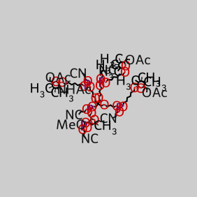 [C-]#[N+]CCOP(OCCCCCCO[C@@H]1OC(COC(C)=O)[C@H](C)[C@H](C)C1C)OCCCOCC(COCCCOP(OCCCCCCO[C@@H]1OC(COC(C)=O)[C@H](C)[C@H](C)C1C)OCC[N+]#[C-])(COCCCOP(OCCCCCCO[C@@H]1OC(COC(C)=O)[C@H](C)[C@H](C)C1NC(C)=O)OCC[N+]#[C-])COP(OCCC#N)OC[C@H]1O[C@@H](C)CC1OP(=O)(OC)OCC[N+]#[C-]